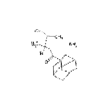 CCCCCCCCCCC(C)C(C)(Br)CC(=O)C12CC3CC(CC(C3)C1)C2.N